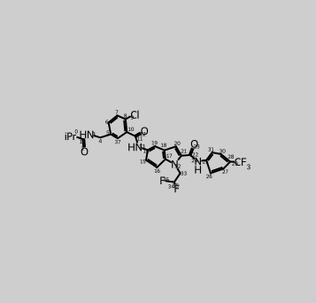 CC(C)C(=O)NCc1ccc(Cl)c(C(=O)Nc2ccc3c(c2)cc(C(=O)Nc2ccc(C(F)(F)F)cc2)n3CC(F)F)c1